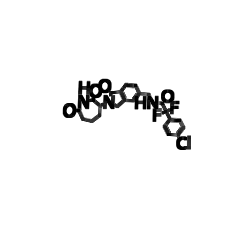 O=C1CCC[C@H](N2Cc3cc(CNC(=O)C(F)(F)c4ccc(Cl)cc4)ccc3C2=O)C(=O)N1